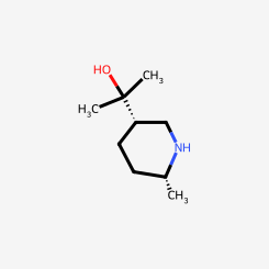 C[C@@H]1CC[C@H](C(C)(C)O)CN1